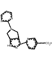 O=C(O)c1ccc(-c2n[nH]c3c2CN(c2ncccn2)C3)nc1